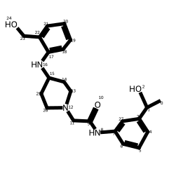 CC(O)c1cccc(NC(=O)CN2CCC(Nc3ccccc3CO)CC2)c1